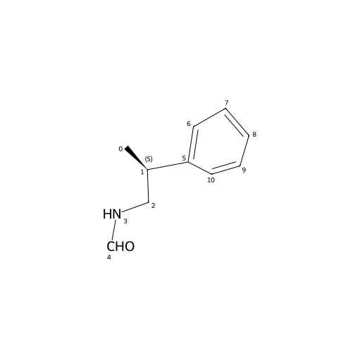 C[C@H](CNC=O)c1ccccc1